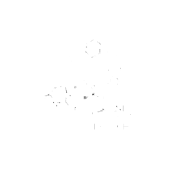 CC(C)[C@H](N)C(=O)O[C@@H]1[C@@H](COP2(=O)OCC[C@@H](c3cccc(Cl)c3)O2)O[C@@H](n2ccc(=O)[nH]c2=O)[C@]1(C)F